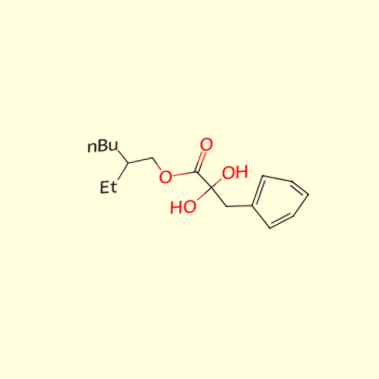 CCCCC(CC)COC(=O)C(O)(O)Cc1ccccc1